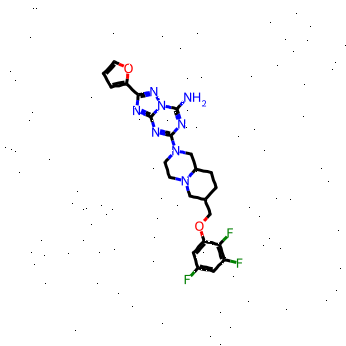 Nc1nc(N2CCN3CC(COc4cc(F)cc(F)c4F)CCC3C2)nc2nc(-c3ccco3)nn12